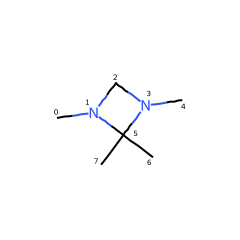 CN1CN(C)C1(C)C